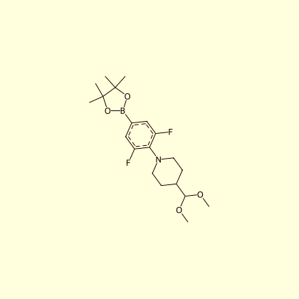 COC(OC)C1CCN(c2c(F)cc(B3OC(C)(C)C(C)(C)O3)cc2F)CC1